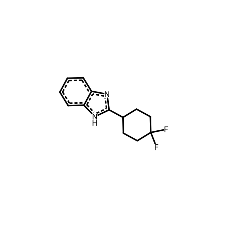 FC1(F)CCC(c2nc3ccccc3[nH]2)CC1